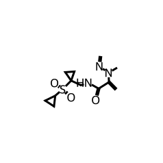 C=NN(C)C(=C)C(=O)NCC1(S(=O)(=O)C2CC2)CC1